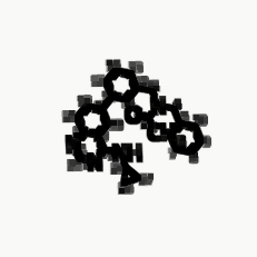 CC(=O)N(Cc1ccccc1)Cc1cccc(-c2ccc3ncnc(NC4CC4)c3c2)c1